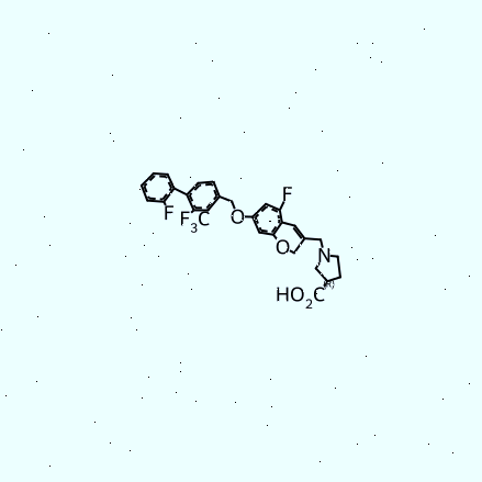 O=C(O)[C@@H]1CCN(CC2=Cc3c(F)cc(OCc4ccc(-c5ccccc5F)c(C(F)(F)F)c4)cc3OC2)C1